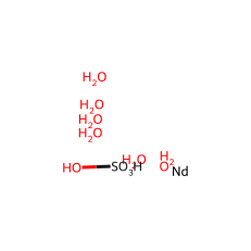 O.O.O.O.O.O.O=S(=O)(O)O.[Nd]